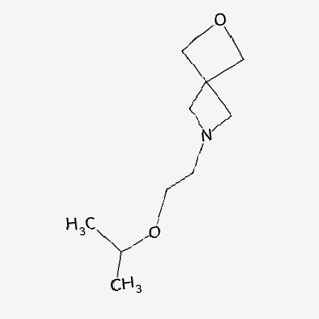 CC(C)OCCN1CC2(COC2)C1